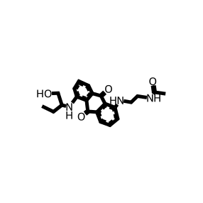 CCC(CO)Nc1cccc2c1C(=O)c1cccc(NCCNC(C)=O)c1C2=O